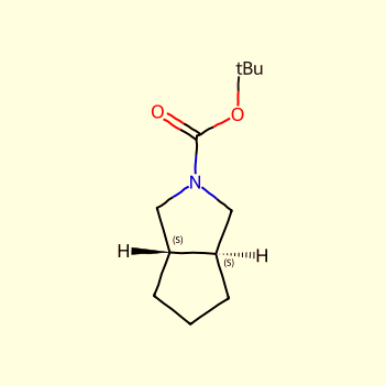 CC(C)(C)OC(=O)N1C[C@H]2CCC[C@@H]2C1